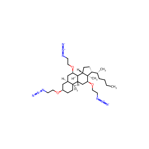 CCCC[C@@H](C)[C@H]1CC[C@H]2[C@@H]3[C@H](OCCN=[N+]=[N-])C[C@@H]4C[C@H](OCCN=[N+]=[N-])CC[C@]4(C)[C@H]3C[C@H](OCCN=[N+]=[N-])[C@]12C